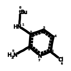 CC(C)(C)Nc1ccc(Cl)nc1N